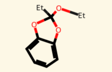 CCOC1(CC)Oc2ccccc2O1